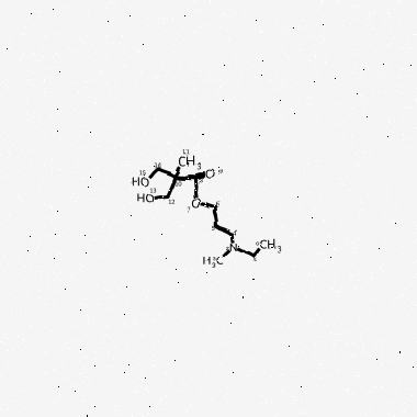 CCN(C)CCCOC(=O)C(C)(CO)CO